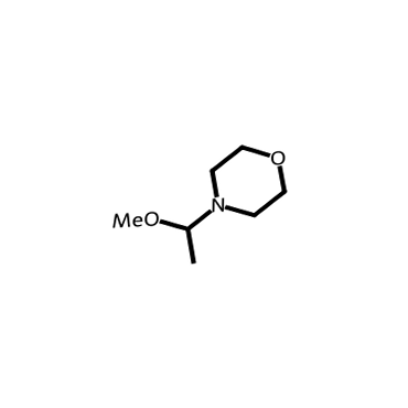 COC(C)N1CCOCC1